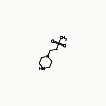 CS(=O)(=O)[CH]CN1CCNCC1